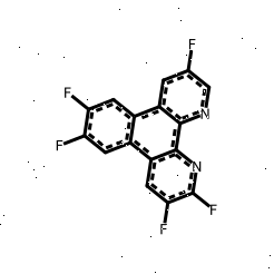 Fc1cnc2c(c1)c1cc(F)c(F)cc1c1cc(F)c(F)nc12